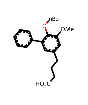 CCCCOc1c(OC)cc(CCCC(=O)O)cc1-c1ccccc1